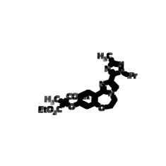 CCOC(=O)C(C)(Oc1ccc2c(c1)OCCn1cc(-c3nc(C)nn3C(C)C)nc1-2)C(=O)OCC